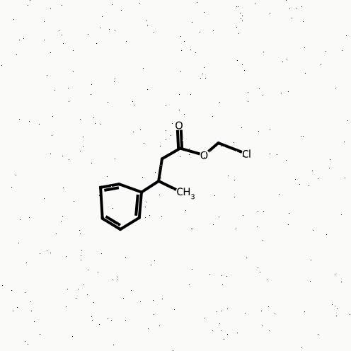 CC(CC(=O)OCCl)c1ccccc1